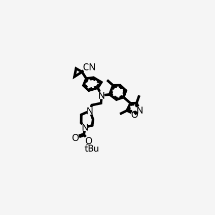 Cc1ccc(-c2c(C)noc2C)cc1N(CCN1CCN(C(=O)OC(C)(C)C)CC1)c1ccc(C2(C#N)CC2)cc1